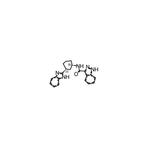 O=C(N[C@@H]1CCC[C@H](c2nc3ccccc3[nH]2)C1)c1n[nH]c2ccccc12